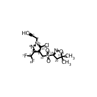 C#CCn1nc(C(F)F)c(CS(=O)(=O)C2=NOC(C)(C)C2)c1Cl